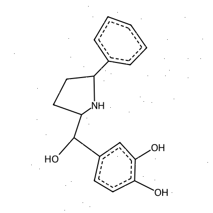 Oc1ccc(C(O)C2CCC(c3ccccc3)N2)cc1O